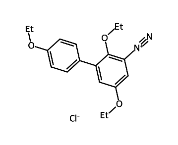 CCOc1ccc(-c2cc(OCC)cc([N+]#N)c2OCC)cc1.[Cl-]